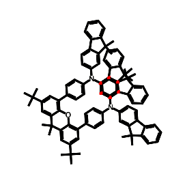 CC(C)(C)c1cc(-c2ccc(N(c3ccc4c(c3)C(C)(C)c3ccccc3-4)c3ccc4c(c3)C(C)(C)c3ccccc3-4)cc2)c2c(c1)C(C)(C)c1cc(C(C)(C)C)cc(-c3ccc(N(c4ccc5c(c4)C(C)(C)c4ccccc4-5)c4ccc5c(c4)C(C)(C)c4ccccc4-5)cc3)c1O2